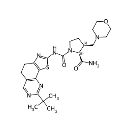 CC(C)(C)c1ncc2c(n1)-c1sc(NC(=O)N3CC[C@@H](CN4CCOCC4)[C@H]3C(N)=O)nc1CC2